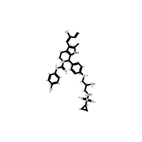 C=C/C(Cl)=C\c1c(C)[nH]c2c1CCN(C(=O)Oc1ccc(Cl)cc1)C2c1ccc(OCC(O)CNS(=O)(=O)C2CC2)cc1